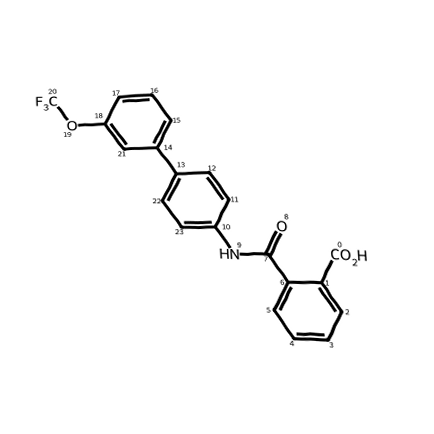 O=C(O)c1ccccc1C(=O)Nc1ccc(-c2cccc(OC(F)(F)F)c2)cc1